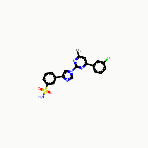 NS(=O)(=O)c1cccc(-c2cn(-c3nc(-c4cccc(Cl)c4)cc(C(F)(F)F)n3)cn2)c1